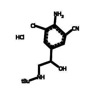 CC(C)(C)NCC(O)c1cc(Cl)c(N)c(C#N)c1.Cl